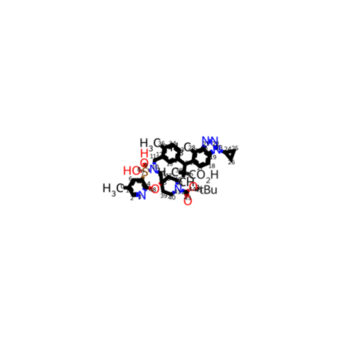 Cc1cnc2c(c1)S(O)(O)N(Cc1cc(C(c3ccc4c(nnn4C4CC4)c3C)C(C)(C)C(=O)O)ccc1C)CC1(CCN(C(=O)OC(C)(C)C)CC1)O2